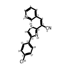 N#CC(=Cc1cccnc1)c1nc(-c2ccc(Cl)cc2)cs1